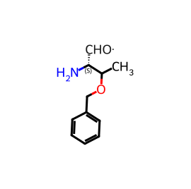 CC(OCc1ccccc1)[C@H](N)[C]=O